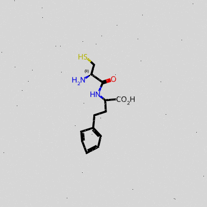 N[C@@H](CS)C(=O)NC(CCc1ccccc1)C(=O)O